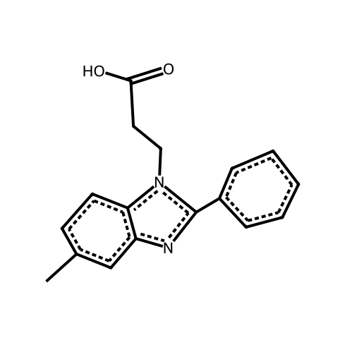 Cc1ccc2c(c1)nc(-c1ccccc1)n2CCC(=O)O